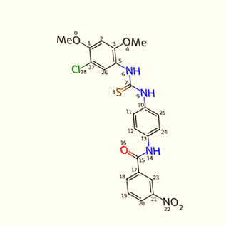 COc1cc(OC)c(NC(=S)Nc2ccc(NC(=O)c3cccc([N+](=O)[O-])c3)cc2)cc1Cl